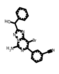 N#Cc1cccc(-c2nc(N)n3nc(C(O)c4ccccc4)nc3c2Br)c1